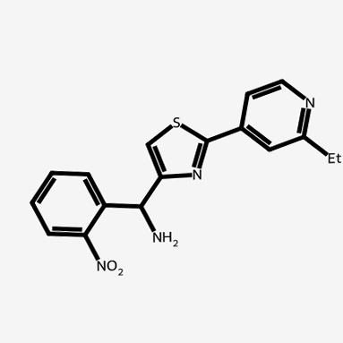 CCc1cc(-c2nc(C(N)c3ccccc3[N+](=O)[O-])cs2)ccn1